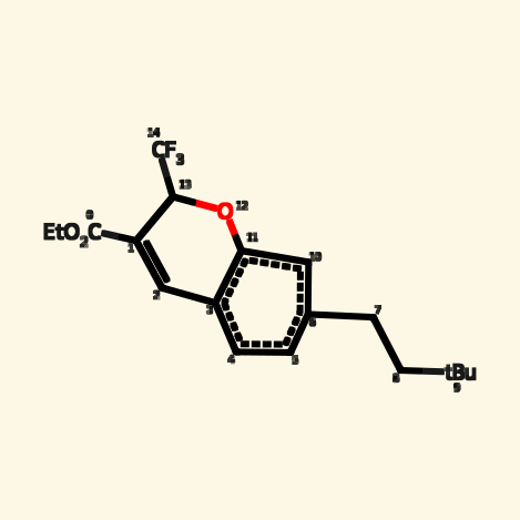 CCOC(=O)C1=Cc2ccc(CCC(C)(C)C)cc2OC1C(F)(F)F